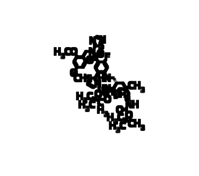 COc1ccc(CN(c2ncns2)S(=O)(=O)c2cc(-c3nccs3)c(NC[C@H](CC(C)(C)CCNC(=O)OC(C)(C)C)[C@@H](C)NC(=O)OC(C)(C)C)cc2F)c(OC)c1